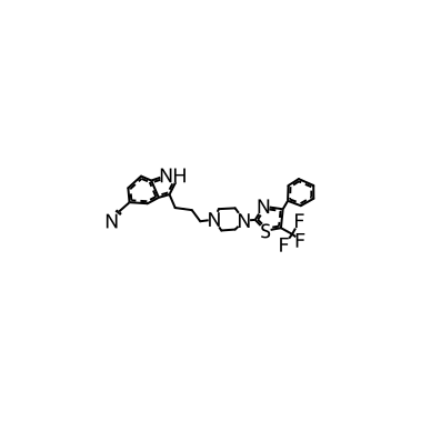 N#Cc1ccc2[nH]cc(CCCN3CCN(c4nc(-c5ccccc5)c(C(F)(F)F)s4)CC3)c2c1